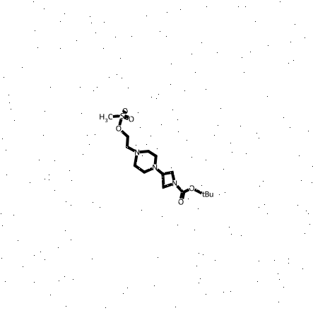 CC(C)(C)OC(=O)N1CC(N2CCN(CCOS(C)(=O)=O)CC2)C1